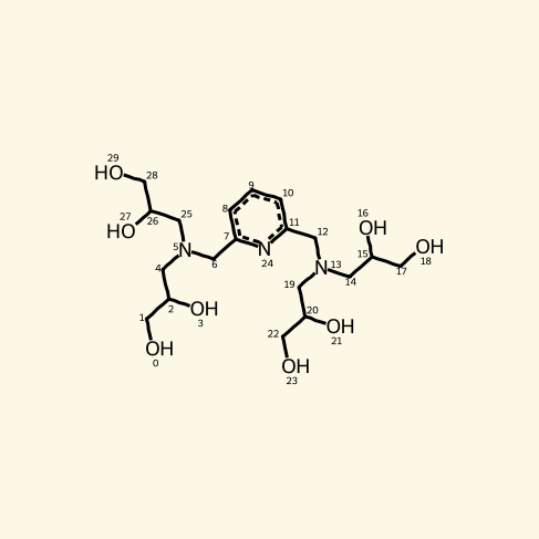 OCC(O)CN(Cc1cccc(CN(CC(O)CO)CC(O)CO)n1)CC(O)CO